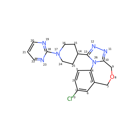 Clc1ccc2c(c1)COCc1nnc(C3CCN(c4ncccn4)CC3)n1-2